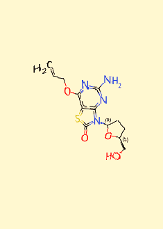 C=CCOc1nc(N)nc2c1sc(=O)n2[C@H]1CC[C@@H](CO)O1